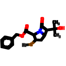 CCSC1CC2C(C(C)(C)O)C(=O)N2C1C(=O)OCc1ccccc1